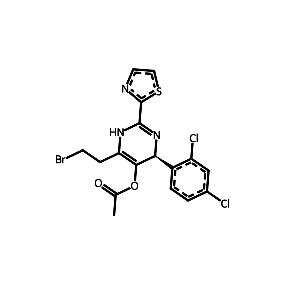 CC(=O)OC1=C(CCBr)NC(c2nccs2)=N[C@H]1c1ccc(Cl)cc1Cl